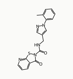 Cc1ccccc1-n1cc(CNC(=O)n2sc3ncccc3c2=O)cn1